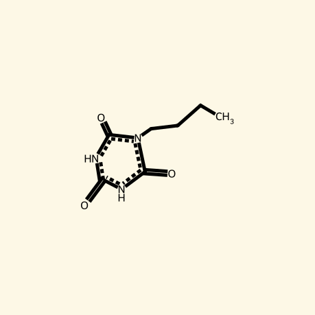 CCCCn1c(=O)[nH]c(=O)[nH]c1=O